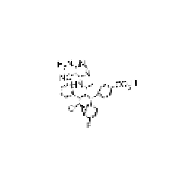 C[C@H](Nc1ncnc(N)c1C#N)c1c(-c2ccccc2)c(=O)n2cc(F)ccc2c1-c1ccc(C(=O)O)cc1